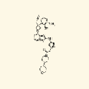 Cc1cccc(C2(CC#N)CN(c3cccn4nc(Nc5cnn(CC(=O)N6CCC(N7CCOCC7)CC6)c5)nc34)C2)c1S